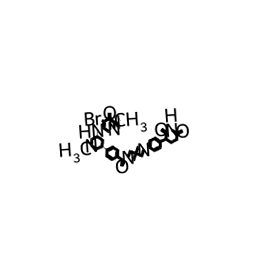 CN1C[C@H](Nc2cnn(C)c(=O)c2Br)C[C@H](c2ccc(C(=O)N3CC4(C3)CN(c3ccc(C5CCC(=O)NC5=O)cc3)C4)cc2)C1